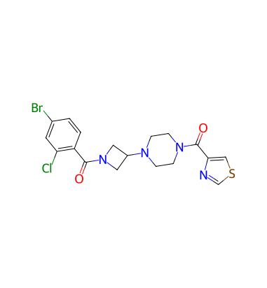 O=C(c1cscn1)N1CCN(C2CN(C(=O)c3ccc(Br)cc3Cl)C2)CC1